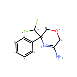 NC1=NC(c2c[c]ccc2)(C(F)F)COC1